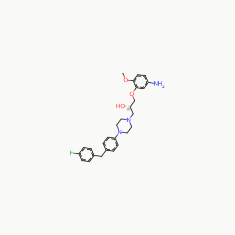 COc1ccc(N)cc1OC[C@@H](O)CN1CCN(c2ccc(Cc3ccc(F)cc3)cc2)CC1